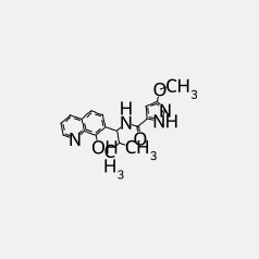 COc1cc(C(=O)NC(c2ccc3cccnc3c2O)C(C)C)[nH]n1